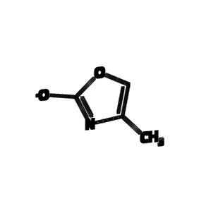 Cc1coc([O])n1